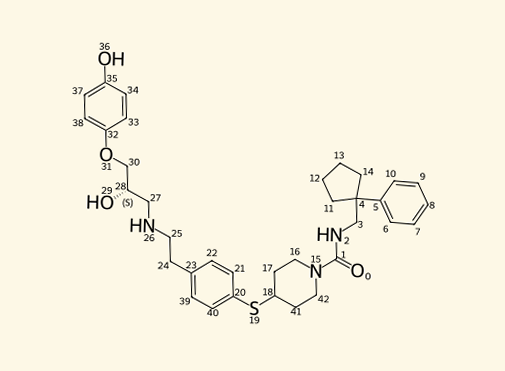 O=C(NCC1(c2ccccc2)CCCC1)N1CCC(Sc2ccc(CCNC[C@H](O)COc3ccc(O)cc3)cc2)CC1